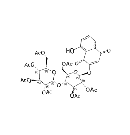 CC(=O)OC[C@H]1O[C@H](O[C@H]2[C@H](OC(C)=O)[C@@H](OC(C)=O)[C@H](OC3=CC(=O)c4cccc(O)c4C3=O)O[C@@H]2COC(C)=O)[C@H](OC(C)=O)[C@@H](OC(C)=O)[C@@H]1OC(C)=O